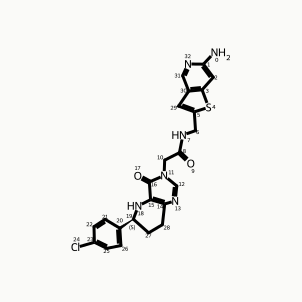 Nc1cc2sc(CNC(=O)Cn3cnc4c(c3=O)N[C@H](c3ccc(Cl)cc3)CC4)cc2cn1